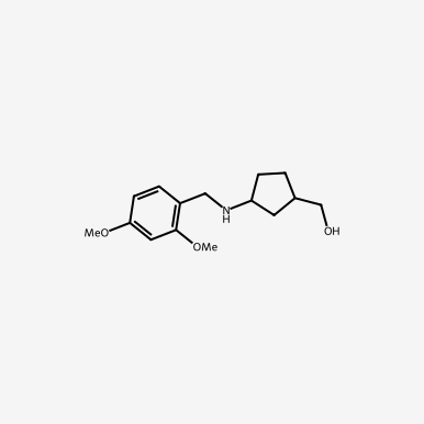 COc1ccc(CNC2CCC(CO)C2)c(OC)c1